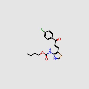 CCCCOC(=O)Nc1ncsc1/C=C/C(=O)c1ccc(F)cc1